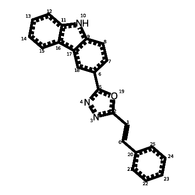 C(=C\c1nnc(-c2ccc3[nH]c4ccccc4c3c2)o1)/c1ccccc1